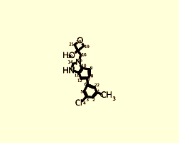 Cc1cc(Cl)cc(-c2ccc3c(c2)NCN3CC2(O)COC2)c1